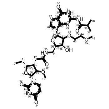 CC[C@H]1O[C@@H](n2ccc(=O)[nH]c2=O)C(OC)[C@H]1CC(=O)NC[C@H]1O[C@@H](n2cnc3c(=O)[nH]c(NC(=O)C(C)C)nc32)C(OCCOC)[C@H]1O